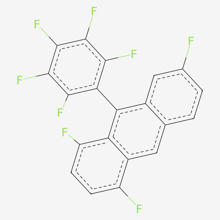 Fc1ccc2cc3c(F)ccc(F)c3c(-c3c(F)c(F)c(F)c(F)c3F)c2c1